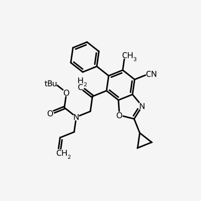 C=CCN(CC(=C)c1c(-c2ccccc2)c(C)c(C#N)c2nc(C3CC3)oc12)C(=O)OC(C)(C)C